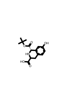 CC(C)(C)OC(=O)[C@H]1NC(C(=O)O)Cc2ccc(O)cc21